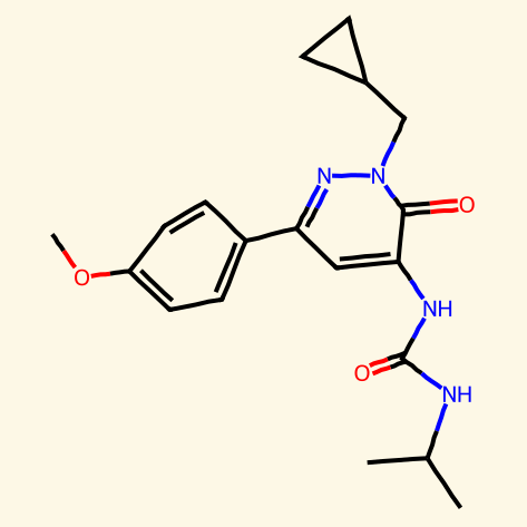 COc1ccc(-c2cc(NC(=O)NC(C)C)c(=O)n(CC3CC3)n2)cc1